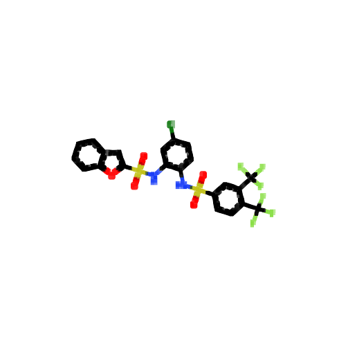 O=S(=O)(Nc1ccc(Cl)cc1NS(=O)(=O)c1cc2ccccc2o1)c1ccc(C(F)(F)F)c(C(F)(F)F)c1